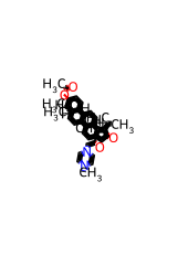 CC(=O)O[C@H]1CC[C@]2(C)[C@H]3CC[C@@H]4C5=C(C(C)C)C(=O)C[C@]5(C(=O)CN5CCN(C)CC5)CC[C@@]4(C)[C@]3(C)CC[C@H]2C1(C)C